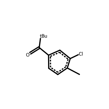 Cc1ccc(C(=O)C(C)(C)C)cc1Cl